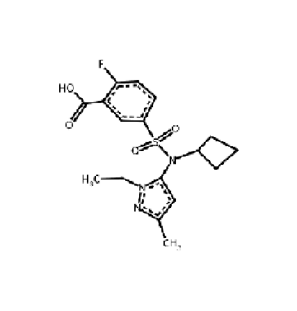 CCn1nc(C)cc1N(C1CCC1)S(=O)(=O)c1ccc(F)c(C(=O)O)c1